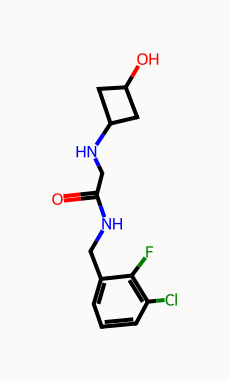 O=C(CNC1CC(O)C1)NCc1cccc(Cl)c1F